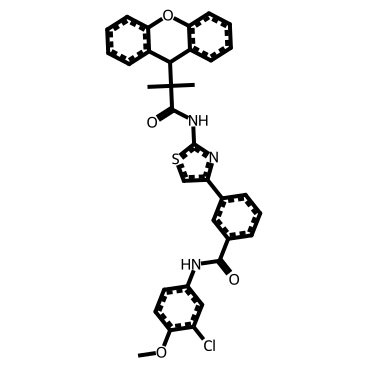 COc1ccc(NC(=O)c2cccc(-c3csc(NC(=O)C(C)(C)C4c5ccccc5Oc5ccccc54)n3)c2)cc1Cl